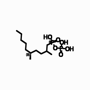 CCCCC[C@H](C)CCC(C)C[P@@](=O)(O)OP(=O)(O)O